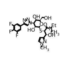 CCN(C)C(=O)[C@@H](S[C@@H]1O[C@H](CO)[C@H](O)[C@H](n2cc(-c3cc(F)c(F)c(F)c3)nn2)[C@H]1O)[C@H](O)c1ccn(C)n1